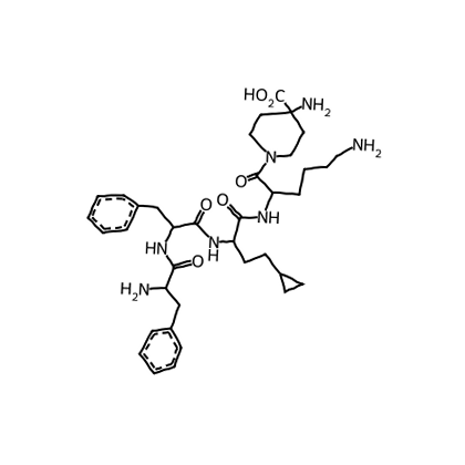 NCCCCC(NC(=O)C(CCC1CC1)NC(=O)C(Cc1ccccc1)NC(=O)C(N)Cc1ccccc1)C(=O)N1CCC(N)(C(=O)O)CC1